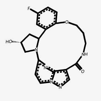 O=C1NCCCOc2ccc(F)cc2C2C[C@@H](O)CN2c2ccn3ncc1c3n2